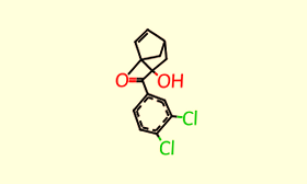 CC12C=CC(C1)CC2(O)C(=O)c1ccc(Cl)c(Cl)c1